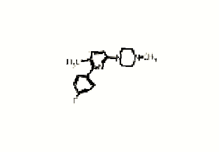 Cc1[c]cc(N2CCN(C)CC2)nc1-c1ccc(F)cc1